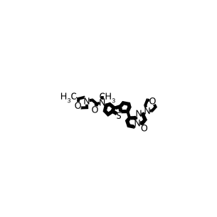 C[C@@H]1CN(CC(=O)N(C)c2ccc3sc4c(-c5cccn6c(=O)cc(N7CCOCC7)nc56)cccc4c3c2)CCO1